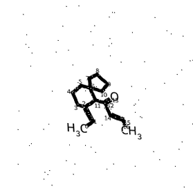 CC=C1CCCC2(CCCC2)C1C(=O)/C=C/C